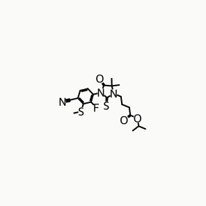 CSc1c(C#N)ccc(N2C(=O)C(C)(C)N(CCCC(=O)OC(C)C)C2=S)c1F